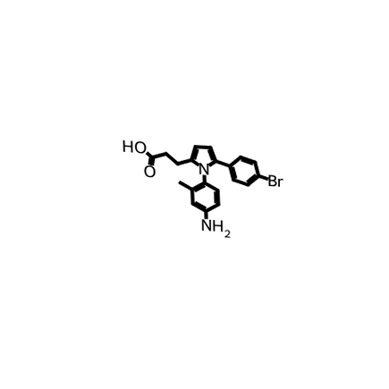 Cc1cc(N)ccc1-n1c(CCC(=O)O)ccc1-c1ccc(Br)cc1